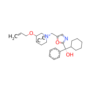 C=CCOC1C[N+]2(Cc3cnc([C@](O)(c4ccccc4)C4CCCCC4)o3)CCC1CC2